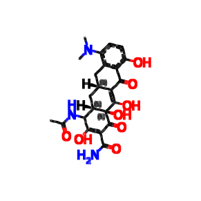 CC(=O)NC1C(O)=C(C(N)=O)C(=O)[C@@]2(O)C(O)=C3C(=O)c4c(O)ccc(N(C)C)c4C[C@H]3C[C@@H]12